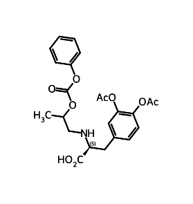 CC(=O)Oc1ccc(C[C@H](NCC(C)OC(=O)Oc2ccccc2)C(=O)O)cc1OC(C)=O